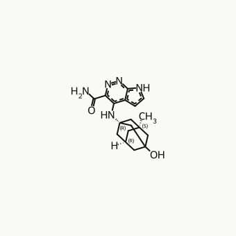 C[C@@]12C[C@H]3CC(O)(C1)C[C@@](Nc1c(C(N)=O)nnc4[nH]ccc14)(C3)C2